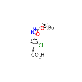 CC(C)(C)[Si](C)(C)OCc1nnc(-c2ccc(C#CC(=O)O)c(Cl)c2)o1